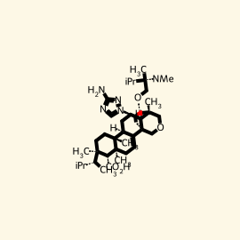 CN[C@](C)(CO[C@H]1[C@H](n2cnc(N)n2)C[C@@]23COC[C@]1(C)[C@@H]2CC[C@H]1C3=CC[C@@]2(C)[C@H](C(=O)O)[C@@](C)([C@H](C)C(C)C)CC[C@]12C)C(C)C